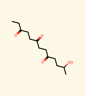 CCC(=O)CCC(=O)CCC(=O)CCC(C)O